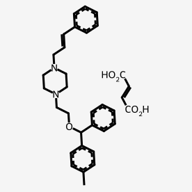 Cc1ccc(C(OCCN2CCN(CC=Cc3ccccc3)CC2)c2ccccc2)cc1.O=C(O)C=CC(=O)O